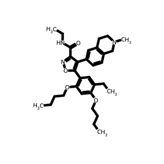 CCCCOc1cc(OCCCC)c(-c2onc(C(=O)NCC)c2-c2ccc3c(c2)CCN(C)C3)cc1CC